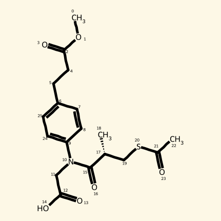 COC(=O)CCc1ccc(N(CC(=O)O)C(=O)[C@H](C)CSC(C)=O)cc1